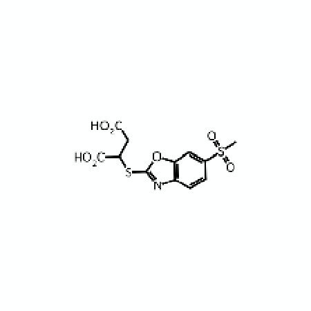 CS(=O)(=O)c1ccc2nc(SC(CC(=O)O)C(=O)O)oc2c1